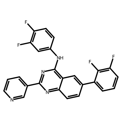 Fc1ccc(Nc2nc(-c3cccnc3)nc3ccc(-c4cccc(F)c4F)cc23)cc1F